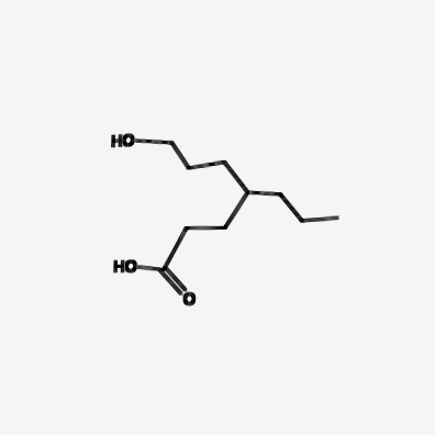 CCCC(CCCO)CCC(=O)O